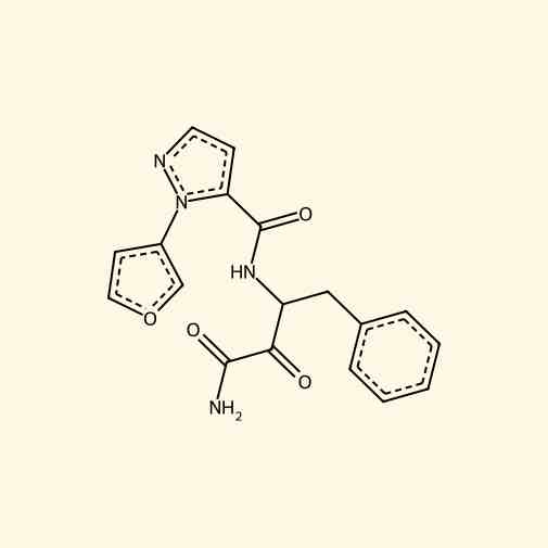 NC(=O)C(=O)C(Cc1ccccc1)NC(=O)c1ccnn1-c1ccoc1